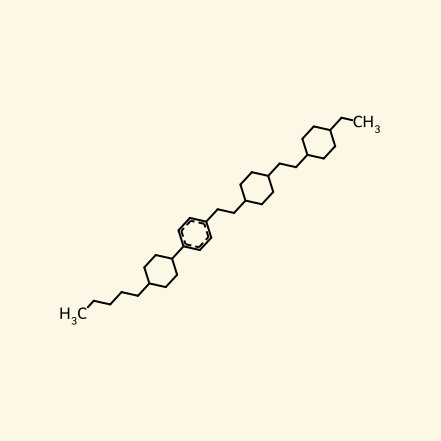 CCCCCC1CCC(c2ccc(CCC3CCC(CCC4CCC(CC)CC4)CC3)cc2)CC1